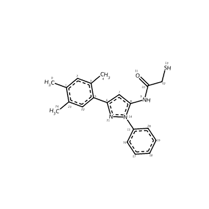 Cc1cc(C)c(-c2cc(NC(=O)CS)n(-c3ccccc3)n2)cc1C